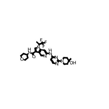 CC(n1cc(C(=O)NC2CCOCC2)c2cnc(Nc3ccnc(N4CCC(C)(O)CC4)n3)cc21)C(F)(F)F